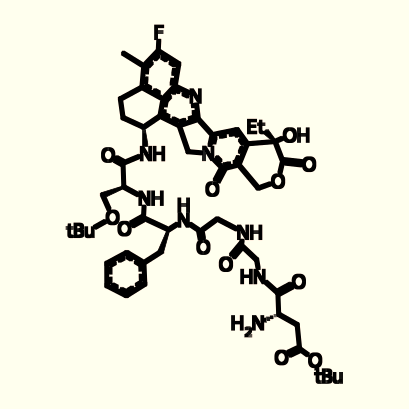 CC[C@@]1(O)C(=O)OCc2c1cc1n(c2=O)Cc2c-1nc1cc(F)c(C)c3c1c2[C@@H](NC(=O)[C@H](COC(C)(C)C)NC(=O)[C@H](Cc1ccccc1)NC(=O)CNC(=O)CNC(=O)[C@@H](N)CC(=O)OC(C)(C)C)CC3